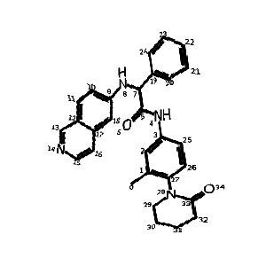 Cc1cc(NC(=O)C(Nc2ccc3cnccc3c2)c2ccccc2)ccc1N1CCCCC1=O